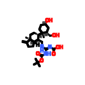 C=C1CC[C@H]2[C@H](CNC(=NC(=O)O)NC(=O)OC(C)(C)C)[C@@H]([C@@]3(C)CC[C@H](O)C[C@@H]3CO)CC[C@]12C